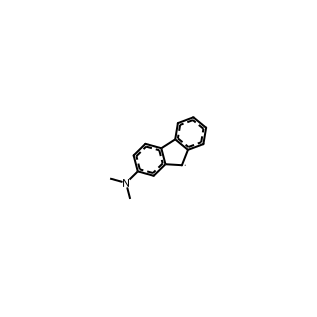 CN(C)c1ccc2c(c1)[CH]c1ccccc1-2